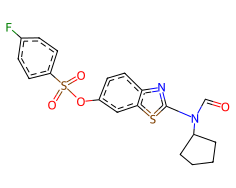 O=CN(c1nc2ccc(OS(=O)(=O)c3ccc(F)cc3)cc2s1)C1CCCC1